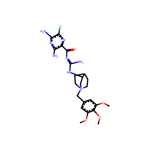 COc1cc(C[N+]23CCC(CC2)C(N/C(N)=N/C(=O)c2nc(Cl)c(N)nc2N)C3)cc(OC)c1OC